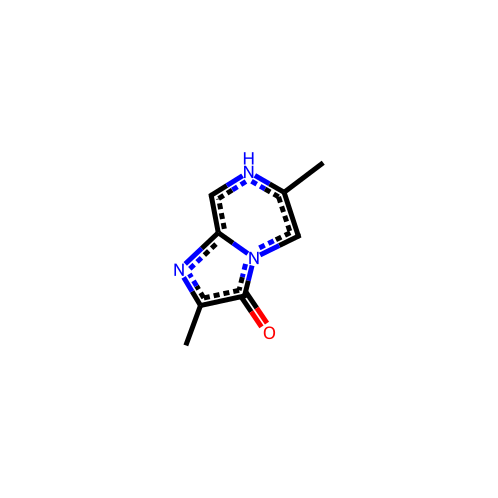 Cc1cn2c(=O)c(C)nc-2c[nH]1